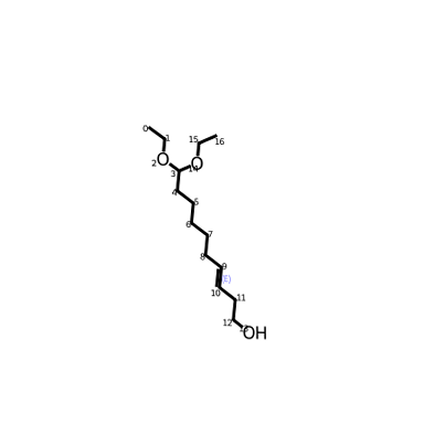 CCOC(CCCCC/C=C/CCO)OCC